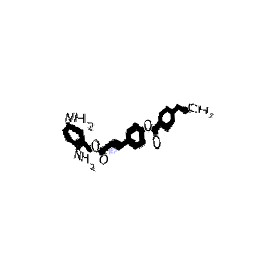 C=CCC1CCC(C(=O)Oc2ccc(/C=C/C(=O)OCc3cc(N)ccc3N)cc2)CC1